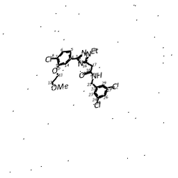 CCn1nc(-c2ccc(Cl)c(OCCOC)c2)nc1CC(=O)NCc1cc(Cl)cc(Cl)c1